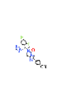 CC(C(Cn1cncn1)c1ccc(F)cc1F)n1ccc2nc(-c3ccc(C#N)cc3)cn2c1=O